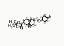 CC(C)(C)OC(=O)N1CCN2C[C@H](COc3ccc(F)cc3)CC[C@@H]2C1